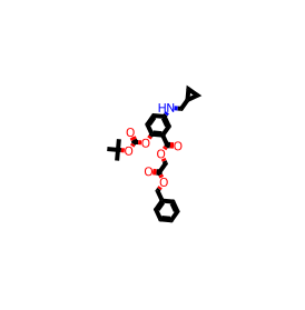 CC(C)(C)OC(=O)Oc1ccc(NCC2CC2)cc1C(=O)OCC(=O)OCc1ccccc1